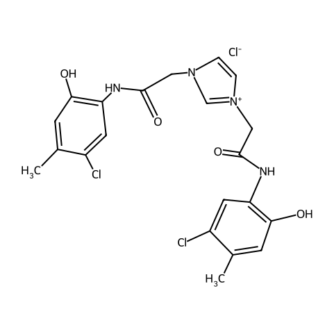 Cc1cc(O)c(NC(=O)Cn2cc[n+](CC(=O)Nc3cc(Cl)c(C)cc3O)c2)cc1Cl.[Cl-]